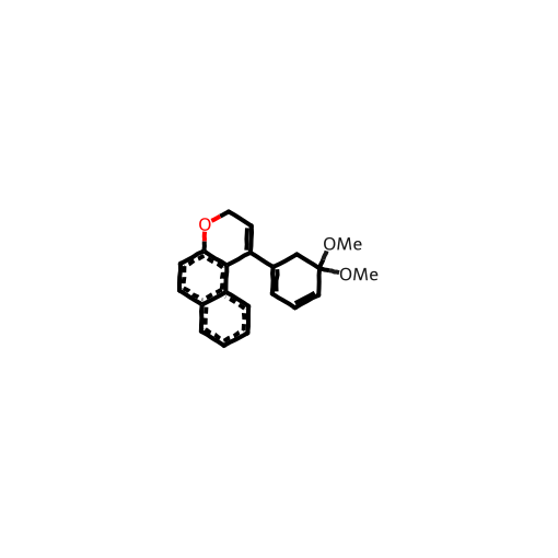 COC1(OC)C=CC=C(C2=CCOc3ccc4ccccc4c32)C1